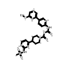 CCOc1cncc(-c2ccc(NC(=O)OC(=O)N3CCC(c4ccnc(NS(C)(=O)=O)n4)CC3)nc2)n1